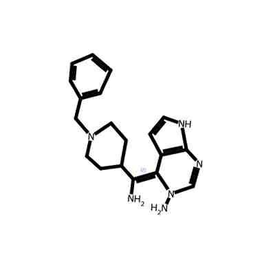 N/C(=C1/c2cc[nH]c2N=CN1N)C1CCN(Cc2ccccc2)CC1